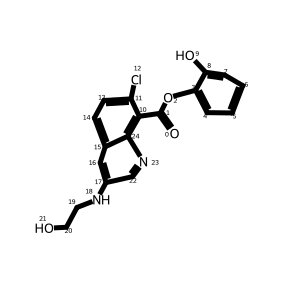 O=C(Oc1ccccc1O)c1c(Cl)ccc2cc(NCCO)cnc12